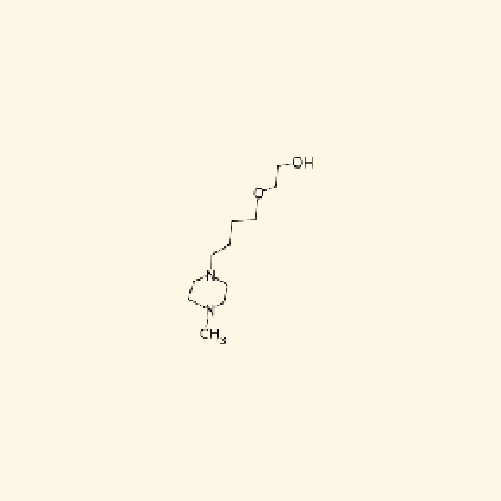 CN1CCN(CCCCOCCO)CC1